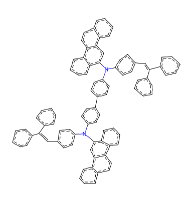 C(=C(c1ccccc1)c1ccccc1)c1ccc(N(c2ccc(-c3ccc(N(c4ccc(C=C(c5ccccc5)c5ccccc5)cc4)c4cc5c6ccccc6ccc5c5ccccc45)cc3)cc2)c2cc3c4ccccc4ccc3c3ccccc23)cc1